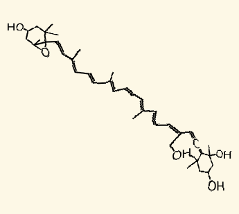 CC(/C=C/C=C(/C=C=C1C(C)(C)CC(O)CC1(C)O)CO)=C\C=C\C=C(C)\C=C\C=C(C)\C=C\C12OC1(C)CC(O)CC2(C)C